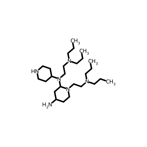 CCCN(CCC)CCN1CCC(N)CC1N(CCN(CCC)CCC)C1CCNCC1